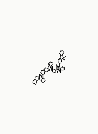 CC1(C)c2ccccc2-c2ccc(-c3nc(-c4cccc(-n5c6ccccc6c6cc7ccc(-n8c9ccccc9c9c%10ccccc%10ccc98)cc7cc65)c4)nc4ccccc34)cc21